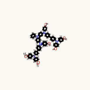 COc1ccc(N(c2ccc(OC)cc2)c2ccc(-c3ccc(N(C4=CCC(OC)C=C4)c4ccc5c(c4)c4cc(N(c6ccc(OC)cc6)c6ccc(-c7ccc(N(c8ccc(OC)cc8)c8ccc(OC)cc8)cc7)cc6)ccc4n5-c4ccccc4)cc3)cc2)cc1